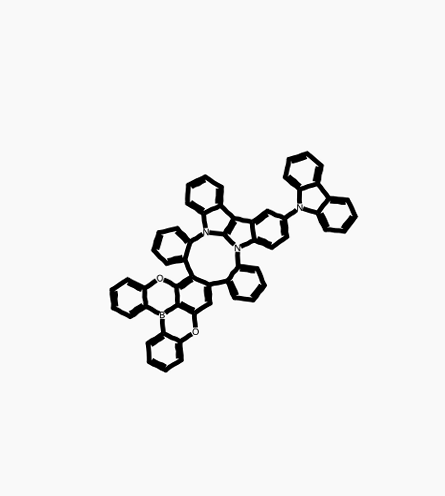 c1ccc2c(c1)Oc1cc3c4ccccc4n4c5ccc(-n6c7ccccc7c7ccccc76)cc5c5c6ccccc6n(c6ccccc6c3c3c1B2c1ccccc1O3)c54